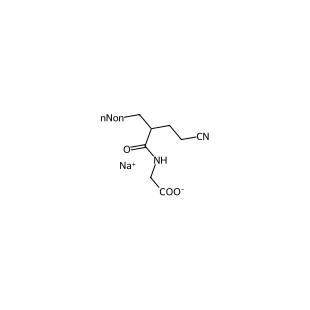 CCCCCCCCCCC(CCC#N)C(=O)NCC(=O)[O-].[Na+]